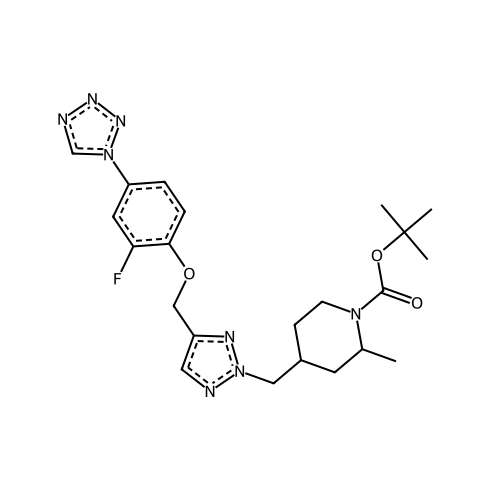 CC1CC(Cn2ncc(COc3ccc(-n4cnnn4)cc3F)n2)CCN1C(=O)OC(C)(C)C